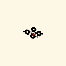 Cc1ccc(N(C(=O)O)c2ccccc2N(c2ccccc2)c2ccc(C)cc2)cc1